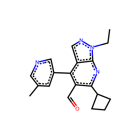 CCn1ncc2c(-c3cncc(C)c3)c(C=O)c(C3CCC3)nc21